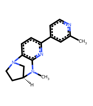 Cc1cc(-c2ccc3c(n2)N(C)[C@H]2CCN3C2)ccn1